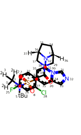 [2H]C([2H])([2H])N(C(C)(C)C)S(=O)(=O)c1cc(N2[C@@H]3CC[C@H]2CN(C(=O)c2ccc(F)cc2Cl)C3)n2cncc2c1